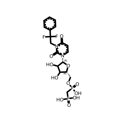 O=c1ccn([C@@H]2O[C@H](COP(=O)(O)CP(=O)(O)O)C(O)C2O)c(=O)n1CC(F)(F)c1ccccc1